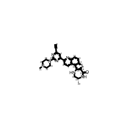 C#Cc1cc(-c2ccc3c(ccc4sc5c(c43)NC[C@@H](C)NC5=O)n2)nc(N2CCN(C)CC2)n1